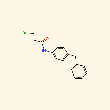 O=C(CCBr)Nc1ccc(Cc2ccccc2)cc1